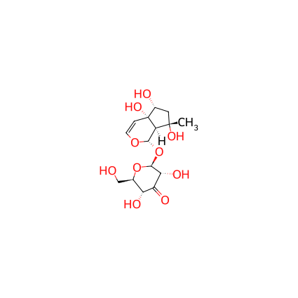 C[C@]1(O)C[C@@H](O)[C@]2(O)C=CO[C@@H](O[C@@H]3O[C@H](CO)[C@@H](O)C(=O)[C@H]3O)[C@@H]21